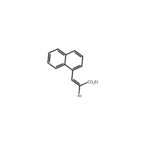 CCOC(=O)/C(=C\c1cccc2ccccc12)C(C)=O